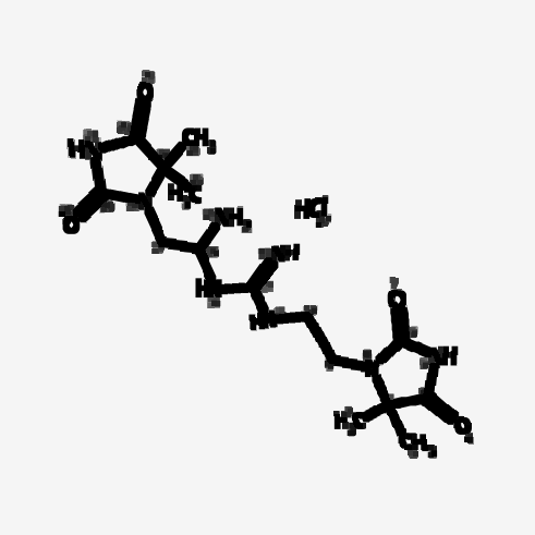 CC1(C)C(=O)NC(=O)N1CCNC(=N)NC(N)CN1C(=O)NC(=O)C1(C)C.Cl